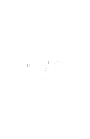 CCOC(=O)N(C)c1ccccc1OC(C)=O